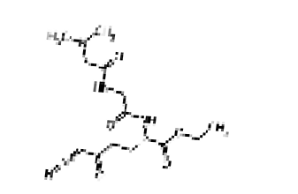 CCOC(=O)[C@H](CCC(=O)C=[N+]=[N-])NC(=O)CNC(=O)CN(C)C